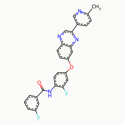 Cc1ccc(-c2cnc3ccc(Oc4ccc(NC(=O)c5cccc(F)c5)c(F)c4)cc3n2)cn1